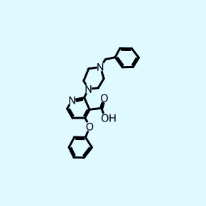 O=C(O)c1c(Oc2ccccc2)ccnc1N1CCN(Cc2ccccc2)CC1